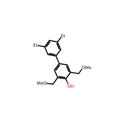 CCc1cc(CC)cc(-c2cc(COC)c(O)c(COC)c2)c1